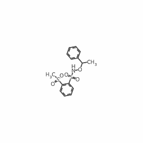 CC(ONS(=O)(=O)c1ccccc1S(C)(=O)=O)c1ccccc1